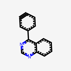 c1ccc(-c2ncnc3ccccc23)cc#1